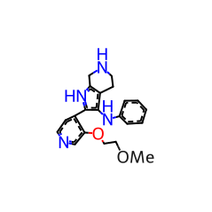 COCCOc1cnccc1-c1[nH]c2c(c1Nc1ccccc1)CCNC2